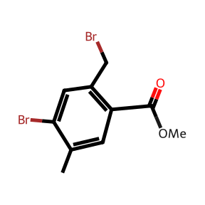 COC(=O)c1cc(C)c(Br)cc1CBr